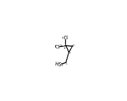 SCC1CC1(Cl)Cl